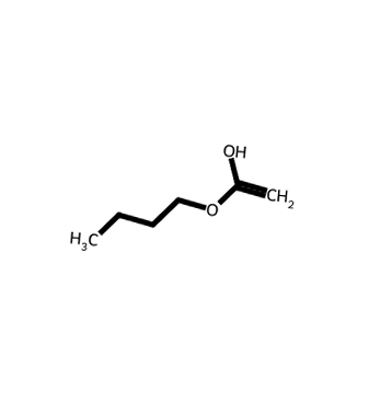 C=C(O)OCCCC